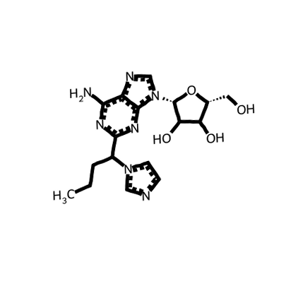 CCCC(c1nc(N)c2ncn([C@@H]3O[C@H](CO)C(O)C3O)c2n1)n1ccnc1